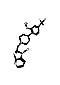 Cn1c(CN2CCC(c3ccc(C(F)(F)F)cc3OO)CC2)nc2ncccc21